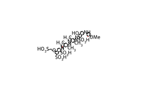 COc1ccc(Nc2ccc3c(O)c(N=Nc4cc(C)c(N=Nc5cc(C)c(N=Nc6ccc7c(OCCCS(=O)(=O)O)cc(S(=O)(=O)O)cc7c6S(=O)(=O)O)cc5C)cc4C)c(S(=O)(=O)O)cc3c2)cc1